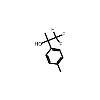 Cc1ccc(C(C)(O)C(F)(F)F)cc1